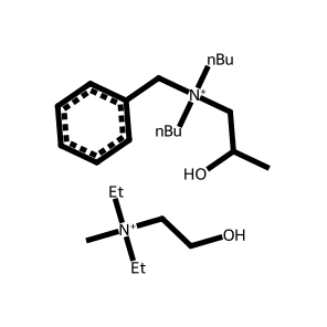 CCCC[N+](CCCC)(Cc1ccccc1)CC(C)O.CC[N+](C)(CC)CCO